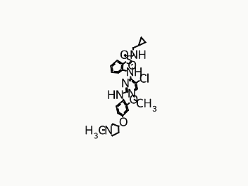 COc1cc(O[C@H]2CCN(C)C2)ccc1Nc1ncc(Cl)c(Nc2ccccc2S(=O)(=O)NCC2CC2)n1